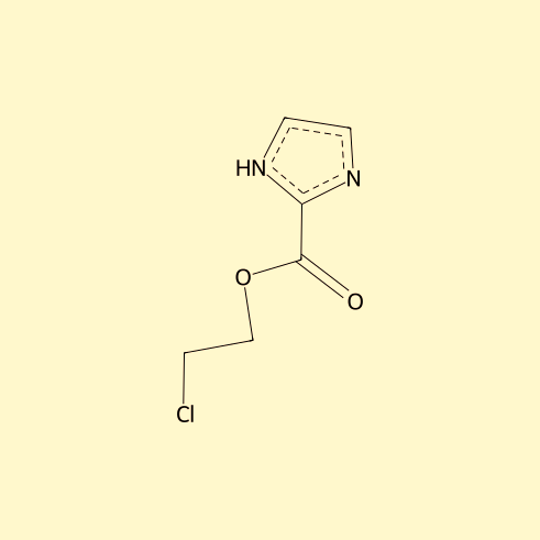 O=C(OCCCl)c1ncc[nH]1